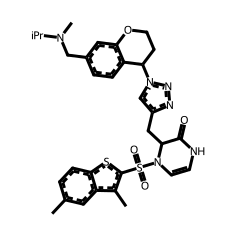 Cc1ccc2sc(S(=O)(=O)N3C=CNC(=O)C3Cc3cn(C4CCOc5cc(CN(C)C(C)C)ccc54)nn3)c(C)c2c1